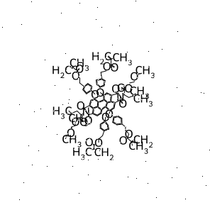 C=C(C)C(=O)OCCc1ccc(Oc2cc3c4c(cc(Oc5ccc(CCOC(=O)C(=C)C)cc5)c5c6c(Oc7ccc(CCOC(=O)C(=C)C)cc7)cc7c8c(cc(Oc9ccc(CCOC(=O)C(=C)C)cc9)c(c2c45)c86)C(=O)N(C(CC(C)C)C(=O)OCCOCC)C7=O)C(=O)N(C(CC(C)C)C(=O)OCCOCC)C3=O)cc1